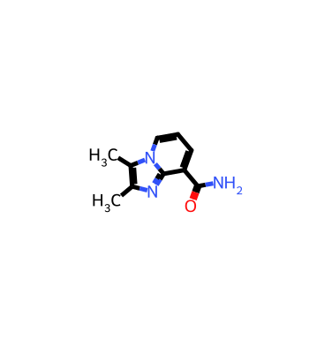 Cc1nc2c(C(N)=O)cccn2c1C